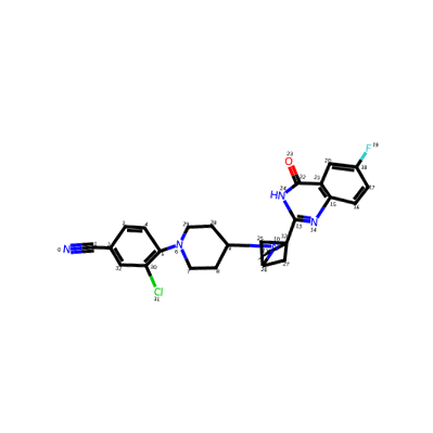 N#Cc1ccc(N2CCC(N3CC4(c5nc6ccc(F)cc6c(=O)[nH]5)CC3C4)CC2)c(Cl)c1